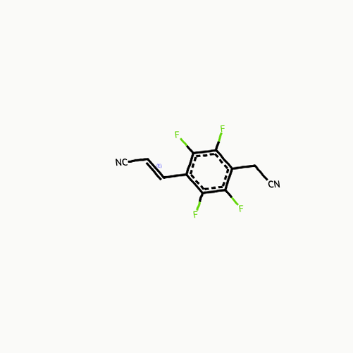 N#C/C=C/c1c(F)c(F)c(CC#N)c(F)c1F